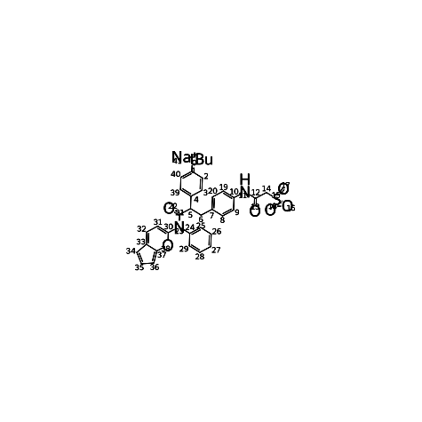 CC(C)(C)c1ccc(C(Cc2ccc(NC(=O)CS(=O)(=O)[O-])cc2)C(=O)N(c2ccccc2)c2ccc3cccc-3o2)cc1.[Na+]